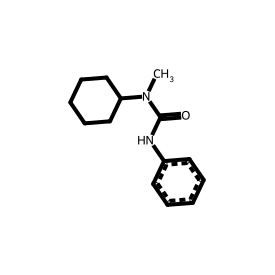 CN(C(=O)Nc1ccccc1)C1CCCCC1